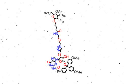 COc1ccc(C(OC[C@H]2O[C@@H](n3cnc4c(=O)[nH]c(NC(=O)C(C)C)nc43)C(OCc3cn(CCOCCNC(=O)CCCCOC4OC(COC(C)=O)C(OC(C)=O)C(OC(C)=O)C4C)nn3)[C@@H]2O)(c2ccccc2)c2ccc(OC)cc2)cc1